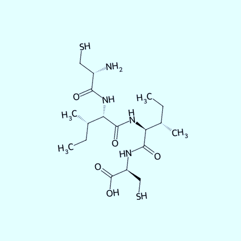 CC[C@H](C)[C@H](NC(=O)[C@@H](NC(=O)[C@@H](N)CS)[C@@H](C)CC)C(=O)N[C@@H](CS)C(=O)O